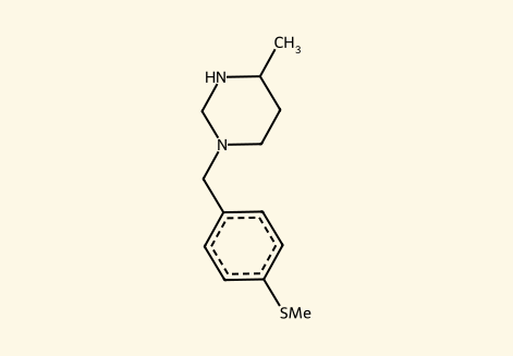 CSc1ccc(CN2CCC(C)NC2)cc1